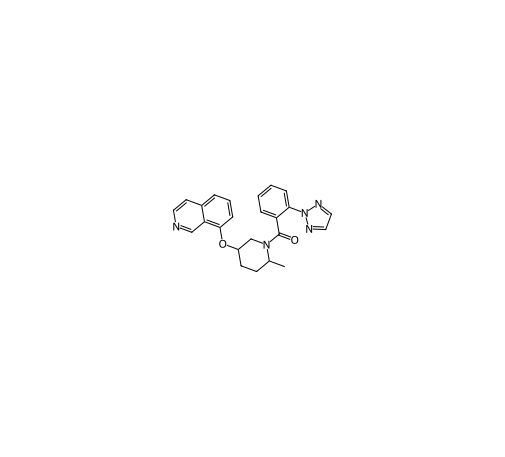 CC1CCC(Oc2cccc3ccncc23)CN1C(=O)c1ccccc1-n1nccn1